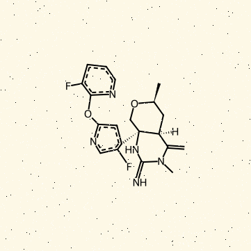 C=C1[C@@H]2C[C@H](C)OC[C@]2(c2cc(Oc3ncccc3F)ncc2F)NC(=N)N1C